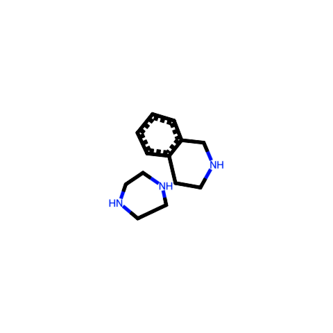 C1CNCCN1.c1ccc2c(c1)CCNC2